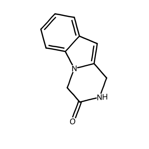 O=C1Cn2c(cc3ccccc32)CN1